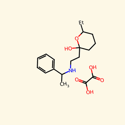 CCC1CCCC(O)(CCNC(C)c2ccccc2)O1.O=C(O)C(=O)O